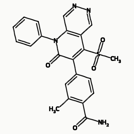 Cc1cc(-c2c(S(C)(=O)=O)c3cnncc3n(-c3ccccc3)c2=O)ccc1C(N)=O